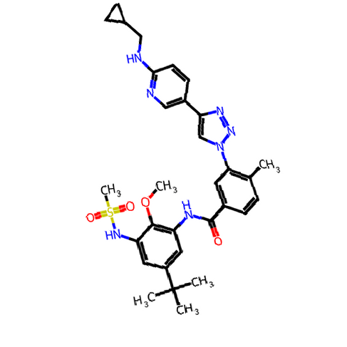 COc1c(NC(=O)c2ccc(C)c(-n3cc(-c4ccc(NCC5CC5)nc4)nn3)c2)cc(C(C)(C)C)cc1NS(C)(=O)=O